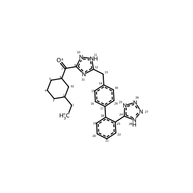 CCC1CCCC(C(=O)c2n[nH]c(Cc3ccc(-c4ccccc4-c4nnn[nH]4)cc3)n2)C1